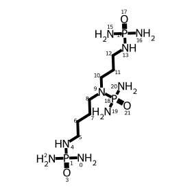 NP(N)(=O)NCCCCN(CCCNP(N)(N)=O)P(N)(N)=O